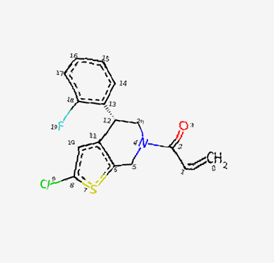 C=CC(=O)N1Cc2sc(Cl)cc2[C@H](c2ccccc2F)C1